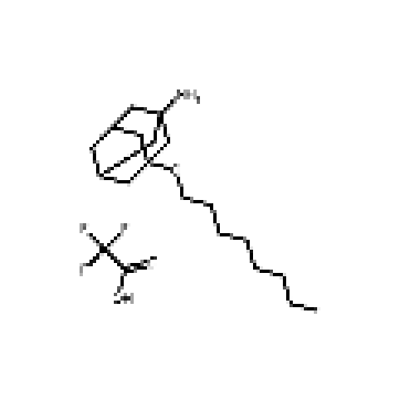 CCCCCCCCOC12CC3CC(CC(N)(C3)C1)C2.O=C(O)C(F)(F)F